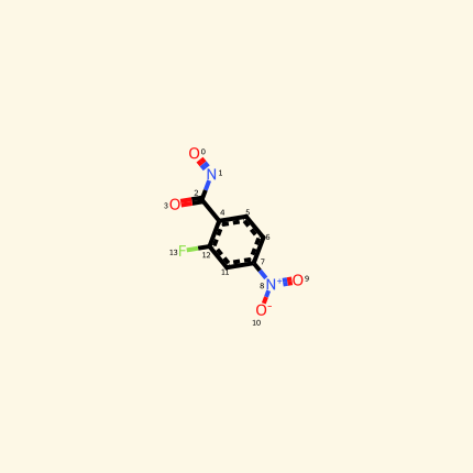 O=NC(=O)c1ccc([N+](=O)[O-])cc1F